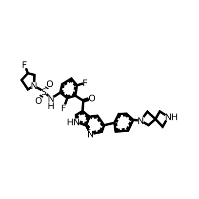 O=C(c1c(F)ccc(NS(=O)(=O)N2CCC(F)C2)c1F)c1c[nH]c2ncc(-c3ccc(N4CC5(CNC5)C4)cc3)cc12